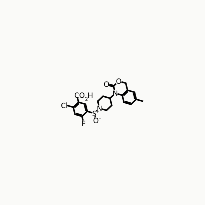 Cc1ccc2c(c1)COC(=O)N2C1CCN([S+]([O-])c2cc(C(=O)O)c(Cl)cc2F)CC1